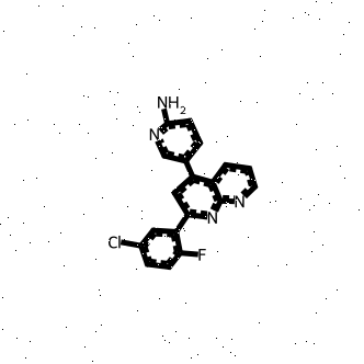 Nc1ccc(-c2cc(-c3cc(Cl)ccc3F)nc3ncccc23)cn1